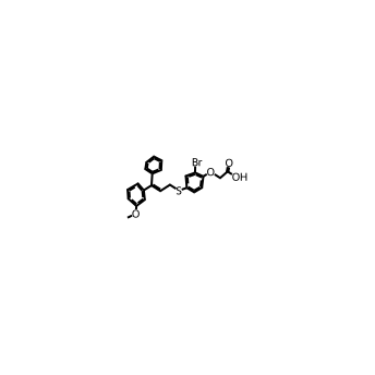 COc1cccc(C(=CCSc2ccc(OCC(=O)O)c(Br)c2)c2ccccc2)c1